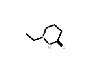 [CH2]CN1CCCC(=O)N1